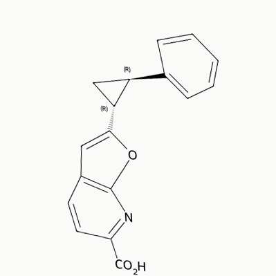 O=C(O)c1ccc2cc([C@@H]3C[C@H]3c3ccccc3)oc2n1